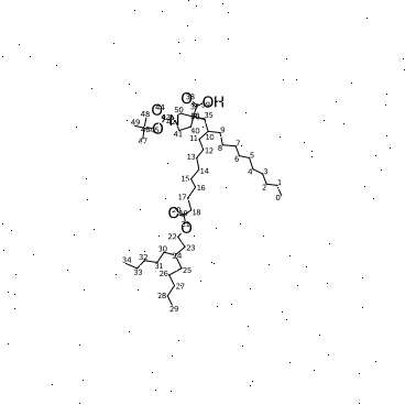 CCCCCCCCCCC(CCCCCCCCC(=O)OCCC(CCCCC)CCCCC)C[C@@]1(C(=O)O)CCN(C(=O)OC(C)(C)C)C1